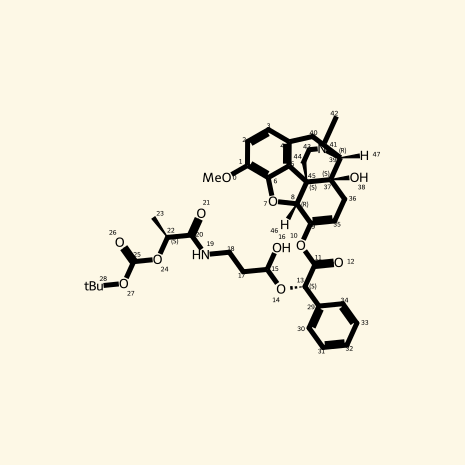 COc1ccc2c3c1O[C@H]1C(OC(=O)[C@@H](OC(O)CCNC(=O)[C@H](C)OC(=O)OC(C)(C)C)c4ccccc4)=CC[C@@]4(O)[C@@H](C2)N(C)CC[C@]314